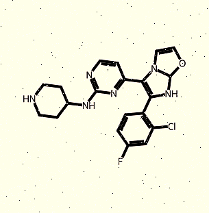 Fc1ccc(C2=C(c3ccnc(NC4CCNCC4)n3)N3C=COC3N2)c(Cl)c1